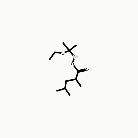 CCOC(C)(C)BOC(=O)C(C)CC(C)C